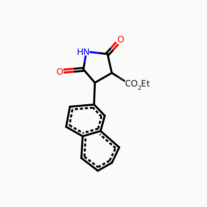 CCOC(=O)C1C(=O)NC(=O)C1c1ccc2ccccc2c1